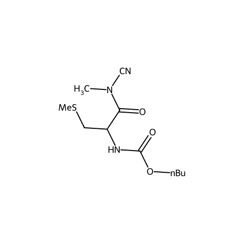 CCCCOC(=O)NC(CSC)C(=O)N(C)C#N